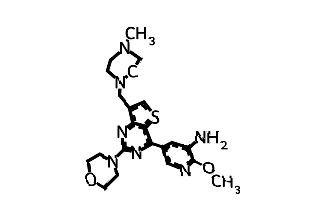 COc1ncc(-c2nc(N3CCOCC3)nc3c(CN4CCN(C)CC4)csc23)cc1N